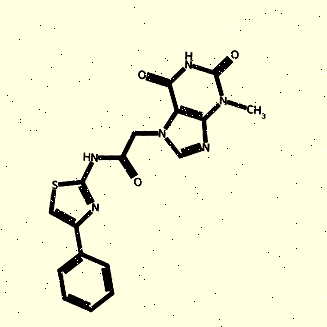 Cn1c(=O)[nH]c(=O)c2c1ncn2CC(=O)Nc1nc(-c2ccccc2)cs1